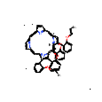 CCC=COc1ccccc1C1=CC2=CC3=NC(=CC4=NC(=CC5=NC(=C(c6ccccc6OC=CCC)C1=N2)C(c1ccccc1OC=CCC)=C5c1ccccc1OC=CCC)C=C4)C=C3